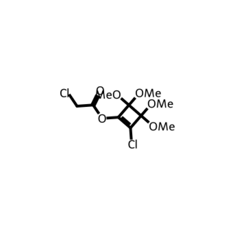 COC1(OC)C(Cl)=C(OC(=O)CCl)C1(OC)OC